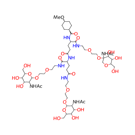 CO[C@H]1CC[C@@H](C(=O)NC(CCC(=O)NC(CCC(=O)NCCOCCOC2OC(CO)C(O)C(O)C2NC(C)=O)C(=O)NCCOCCOC2OC(CO)C(O)C(O)C2NC(C)=O)C(=O)NCCOCCOC2(NC(C)=O)COC(CO)C(O)C2O)CC1